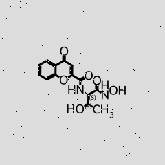 C[C@@H](O)[C@H](NC(=O)c1cc(=O)c2ccccc2o1)C(=O)NO